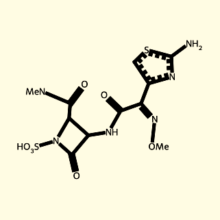 CNC(=O)C1C(NC(=O)C(=NOC)c2csc(N)n2)C(=O)N1S(=O)(=O)O